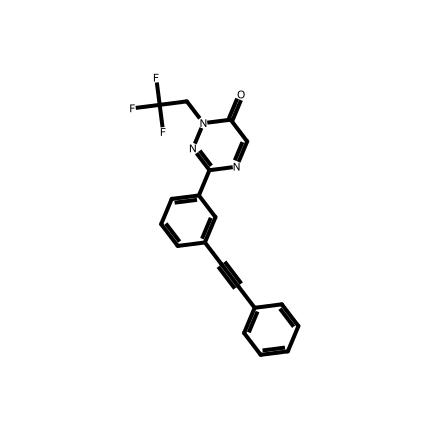 O=c1cnc(-c2cccc(C#Cc3ccccc3)c2)nn1CC(F)(F)F